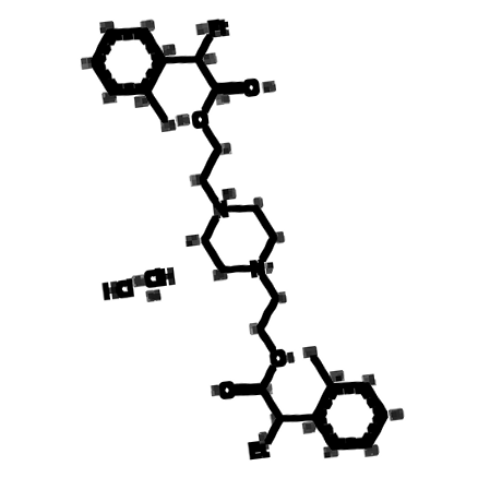 CCC(C(=O)OCCN1CCN(CCOC(=O)C(CC)c2ccccc2C)CC1)c1ccccc1C.Cl.Cl